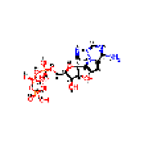 N#C[C@@]1(c2ccc3c(N)ncnn23)O[C@H](COP(=O)(O)OP(=O)(O)OP(=O)(O)O)[C@H](O)[C@@H]1O